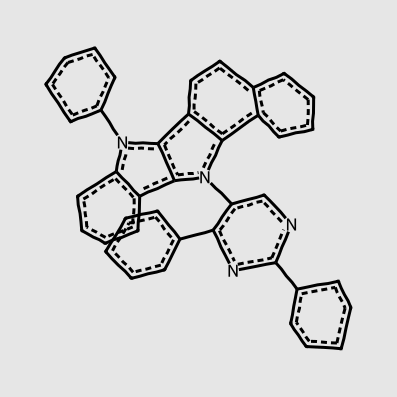 c1ccc(-c2ncc(-n3c4c5ccccc5ccc4c4c3c3ccccc3n4-c3ccccc3)c(-c3ccccc3)n2)cc1